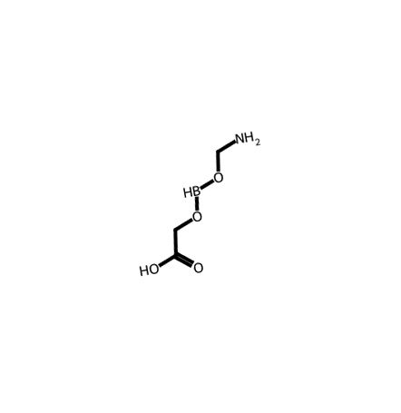 NCOBOCC(=O)O